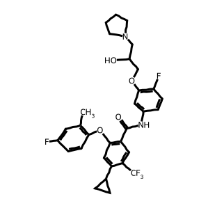 Cc1cc(F)ccc1Oc1cc(C2CC2)c(C(F)(F)F)cc1C(=O)Nc1ccc(F)c(OCC(O)CN2CCCC2)c1